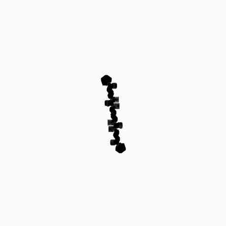 O=C(NCCCCNC(=O)NCCCC(=O)N1CCCC1)NCCCC(=O)N1CCCC1